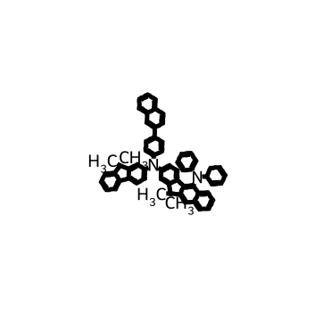 CC1(C)c2ccccc2-c2ccc(N(c3ccc(-c4ccc5ccccc5c4)cc3)c3ccc4c(c3)C(C)(C)c3cc5ccccc5c(N(c5ccccc5)C5C=CC=CC5)c3-4)cc21